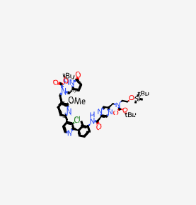 COc1nc(-c2ccnc(-c3cccc(NC(=O)c4cnc(CN(CCO[Si](C)(C)C(C)(C)C)C(=O)OC(C)(C)C)cn4)c3C)c2Cl)ccc1CN(C[C@@H]1CCC(=O)N1)C(=O)OC(C)(C)C